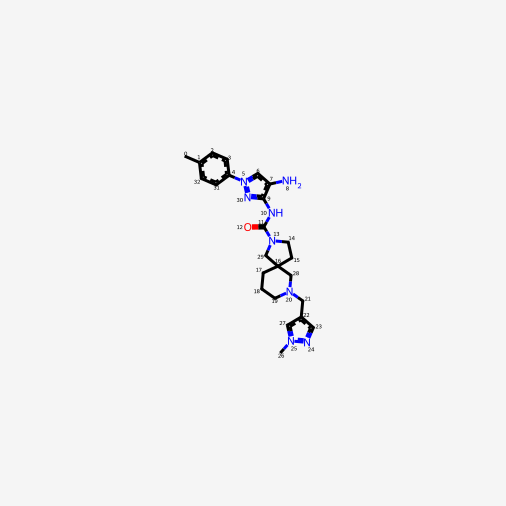 Cc1ccc(-n2cc(N)c(NC(=O)N3CCC4(CCCN(Cc5cnn(C)c5)C4)C3)n2)cc1